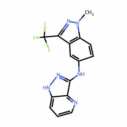 Cn1nc(C(F)(F)F)c2cc(Nc3n[nH]c4cccnc34)ccc21